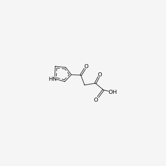 O=C(O)C(=O)CC(=O)c1cc[nH]c1